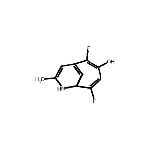 CC1=CC2=CC(N1)C(F)=CC(O)=C2F